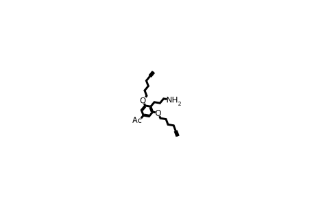 C#CCCCCOc1cc(C(C)=O)cc(OCCCCC#C)c1CCCN